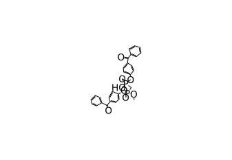 COP(=O)(CP(=O)(O)Oc1ccc(C(=O)c2ccccc2)cc1)Oc1ccc(C(=O)c2ccccc2)cc1